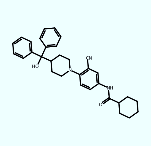 N#Cc1cc(NC(=O)C2CCCCC2)ccc1N1CCC(C(O)(c2ccccc2)c2ccccc2)CC1